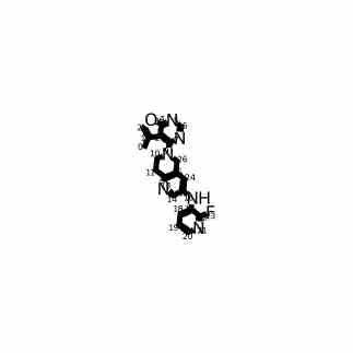 Cc1coc2ncnc(N3CCc4ncc(Nc5cccnc5F)cc4C3)c12